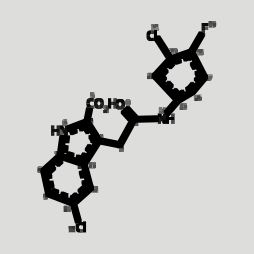 O=C(Cc1c(C(=O)O)[nH]c2ccc(Cl)cc12)Nc1ccc(F)c(Cl)c1